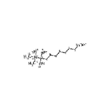 CCCCCCCCCCCCCCCCCC(CCC)(CCC)[N+](C)(C)CCC